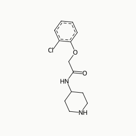 O=C(COc1ccccc1Cl)NC1CCNCC1